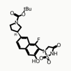 CC(C)(C)OC(=O)N1CC[C@H](c2ccc3cc(O)c(N4CC(=O)NS4(=O)=O)c(F)c3c2)C1